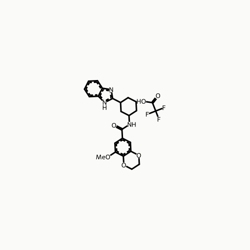 COc1cc(C(=O)NC2CCCC(c3nc4ccccc4[nH]3)C2)cc2c1OCCO2.O=C(O)C(F)(F)F